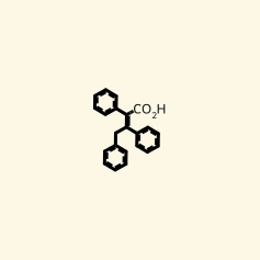 O=C(O)C(=C(Cc1ccccc1)c1ccccc1)c1ccccc1